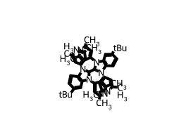 Cc1cc(N2c3ccc(C(C)(C)C)cc3N(c3cc(C)nc(C)c3)C2C2N(c3cc(C)nc(C)c3)c3ccc(C(C)(C)C)cc3N2c2cc(C)nc(C)c2)cc(C)n1